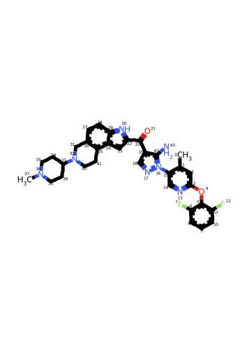 Cc1cc(Oc2c(F)cccc2F)ncc1-n1ncc(C(=O)c2cc3c4c(ccc3[nH]2)CN(C2CCN(C)CC2)CC4)c1N